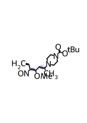 C=C/C(N=O)=C(\C=C(/C)N1CCN(C(=O)OC(C)(C)C)CC1)OC